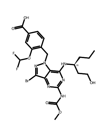 CCC[C@@H](CCO)Nc1nc(NC(=O)OC)nc2c(Br)nn(Cc3ccc(C(=O)O)cc3OC(F)F)c12